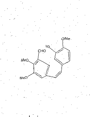 COc1ccc(/C=C\c2cc(C=O)c(OC)c(OC)c2)cc1O